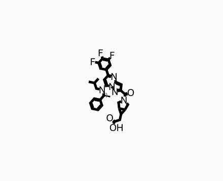 CC(C)CN(c1cc(-c2cc(F)c(F)c(F)c2)nc2cc(C(=O)N3CC4C(CC(=O)O)C4C3)nn12)[C@@H](C)c1ccccc1